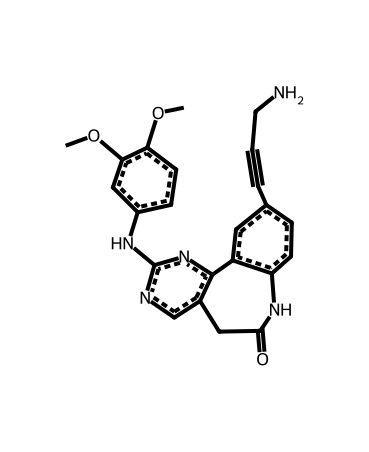 COc1ccc(Nc2ncc3c(n2)-c2cc(C#CCN)ccc2NC(=O)C3)cc1OC